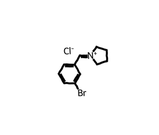 Brc1cccc(C=[N+]2CCCC2)c1.[Cl-]